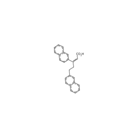 O=C(O)C=C(CCc1ccc2ccccc2c1)c1ccc2ccccc2c1